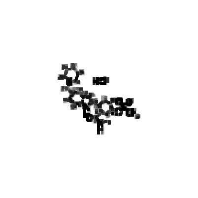 Cl.O=C1NCc2c(OS(=O)(=O)C(F)(F)F)ccc(-c3cc4cc(CN5CCCCC5)ccc4[nH]3)c21